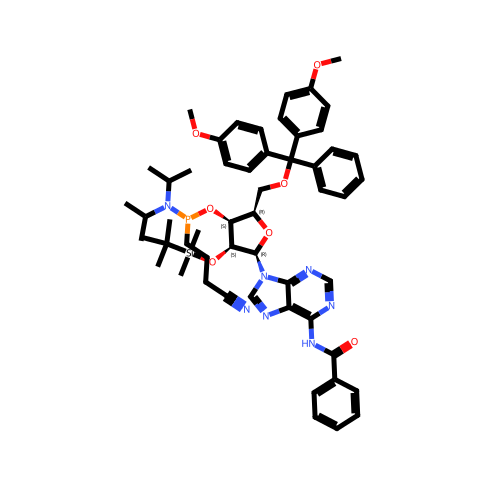 COc1ccc(C(OC[C@H]2O[C@@H](n3cnc4c(NC(=O)c5ccccc5)ncnc43)[C@@H](O[Si](C)(C)C(C)(C)C)[C@H]2OP(CCCC#N)N(C(C)C)C(C)C)(c2ccccc2)c2ccc(OC)cc2)cc1